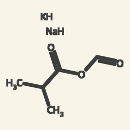 CC(C)C(=O)OC=O.[KH].[NaH]